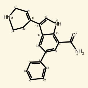 NC(=O)c1cc(-c2ccccc2)cc2c(C3=CCNCC3)c[nH]c12